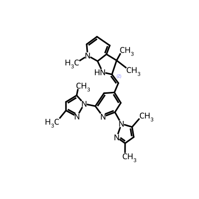 Cc1cc(C)n(-c2cc(/C=C3\NC4C(=CC=CN4C)C3(C)C)cc(-n3nc(C)cc3C)n2)n1